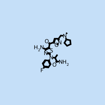 CC(C(N)=O)N(c1ccc(F)cc1)c1nc(N)c(C(=O)c2cc(CN(C)C3CCCC3)no2)s1